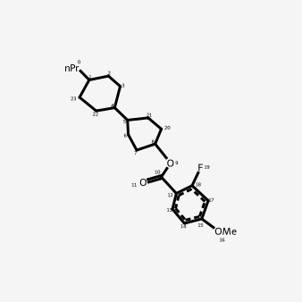 CCCC1CCC(C2CCC(OC(=O)c3ccc(OC)cc3F)CC2)CC1